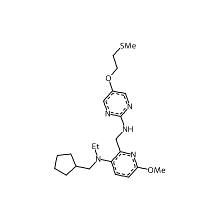 CCN(CC1CCCC1)c1ccc(OC)nc1CNc1ncc(OCCSC)cn1